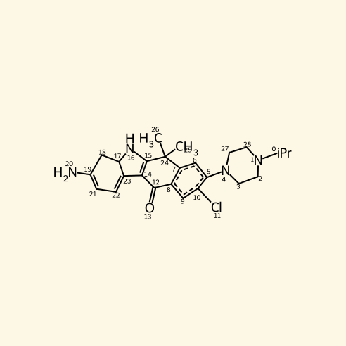 CC(C)N1CCN(c2cc3c(cc2Cl)C(=O)C2=C(NC4CC(N)=CC=C24)C3(C)C)CC1